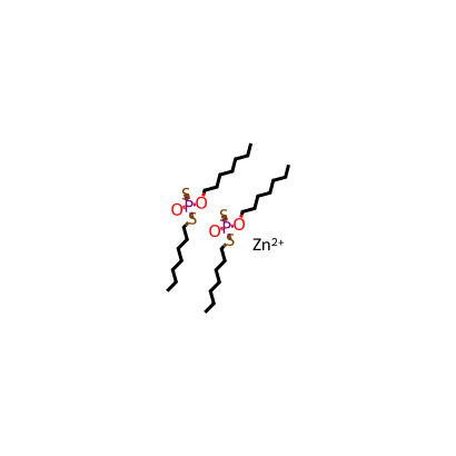 CCCCCCCOP([O-])(=S)SCCCCCCC.CCCCCCCOP([O-])(=S)SCCCCCCC.[Zn+2]